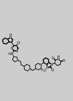 Cn1c(=O)n(C2CCC(=O)NC2=O)c2cccc(N3CCC(CN4CCC(CCN5CC[C@@H](Nc6ncc(Cl)c(-c7c[nH]c8ccccc78)n6)C5)CC4)CC3)c21